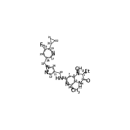 CC[C@H]1C(=O)Nc2c(cc(NCc3cnn(Cc4cnc(C5CC5)c(F)c4)c3)nc2C)N1C